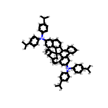 CC(C)c1ccc(N(c2ccc(C(C)C)cc2)c2ccc3c4c(ccc3c2)-c2c(c3ccc(N(c5ccc(C(C)C)cc5)c5ccc(C(C)C)cc5)cc3c3ccccc23)C42c3ccccc3-c3ccccc32)cc1